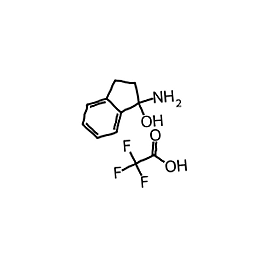 NC1(O)CCc2ccccc21.O=C(O)C(F)(F)F